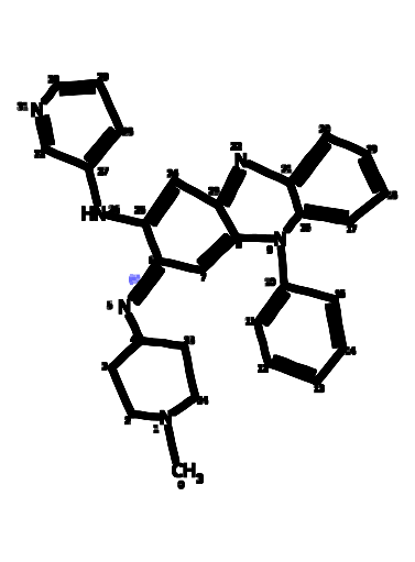 CN1CCC(/N=c2\cc3n(-c4ccccc4)c4ccccc4nc-3cc2Nc2cccnc2)CC1